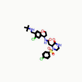 CC(C)(C)NCc1cc2c(cc1Cl)[C@H](NC(=O)CC1C(=O)NCCN1S(=O)(=O)c1ccc(Cl)cc1)CCO2